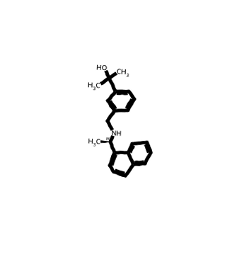 C[C@@H](NCc1cccc(C(C)(C)O)c1)c1cccc2ccccc12